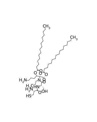 CCCCCCCCCCCCCCCC(=O)OC(CCCN)[C@]([C]=O)(OC(=O)CCCCCCCCCCCCCCC)N(CCC)C(=O)[C@H](CO)NC(=O)[C@@H](N)CS